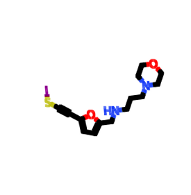 ISC#Cc1ccc(CNCCCN2CCOCC2)o1